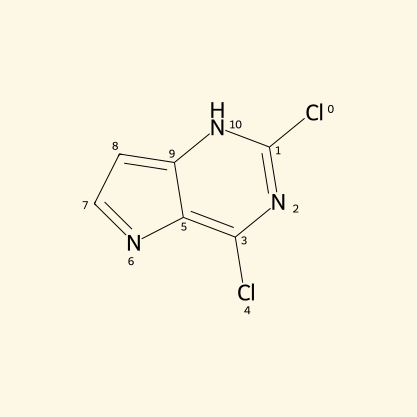 Clc1nc(Cl)c2nccc-2[nH]1